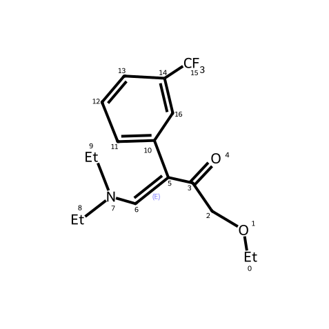 CCOCC(=O)/C(=C/N(CC)CC)c1cccc(C(F)(F)F)c1